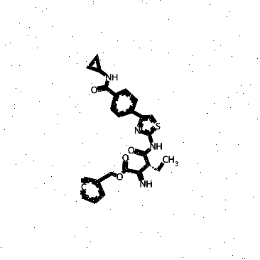 CC[C@H](C(=N)C(=O)OCc1ccccc1)C(=O)Nc1nc(-c2ccc(C(=O)NC3CC3)cc2)cs1